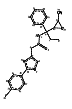 CCC(NC(=O)Cc1csc(-c2ccc(F)cc2)n1)(c1ccccc1)C1OC1O